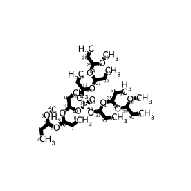 CCC(OC)OC(CC)OC(CC)OP(=O)(OC(CC)OC(CC)OC(CC)OC)OC(CC)OC(CC)OC(CC)OC